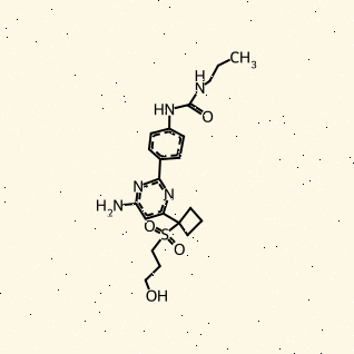 CCCNC(=O)Nc1ccc(-c2nc(N)cc(C3(S(=O)(=O)CCCO)CCC3)n2)cc1